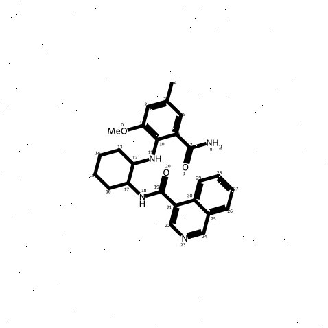 COc1cc(C)cc(C(N)=O)c1NC1CCCCC1NC(=O)c1cncc2ccccc12